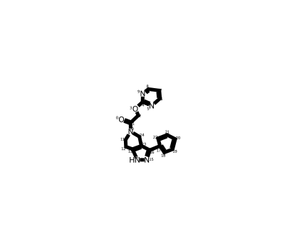 O=C(COc1ncccn1)N1CCc2[nH]nc(-c3ccccc3)c2C1